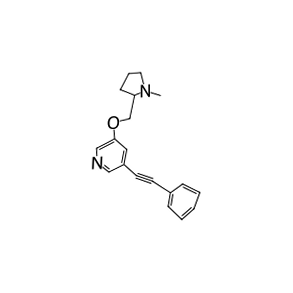 CN1CCCC1COc1cncc(C#Cc2ccccc2)c1